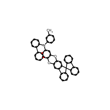 Cc1cccc(N(c2ccc3c(c2)Oc2cc4c(cc2O3)-c2ccccc2C42c3ccccc3-c3ccccc32)c2ccccc2-c2ccccc2)c1